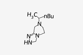 CCCCC(C)N1CCN2CNN=C2C1